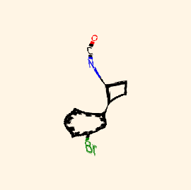 O=C=N[C@H]1CC[C@H]1c1cccc(Br)c1